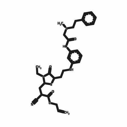 C=CCOC(=O)C(C#N)CC1SC(CCNc2cccc(NC(=O)CN(C)CCc3ccccc3)c2)C(=O)N1CC